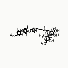 CC(=O)Cc1cc(I)c(Oc2cc(I)c(OCc3cn(CCCCNC(=O)CC4O[C@@H](O[C@@H]5C(NC(C)=O)[C@H](C)OC(CO)[C@H]5O)C(O)[C@@H](O)[C@@H]4C)nn3)c(I)c2)c(I)c1